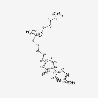 CCCCCOC(C)CCCC=Cc1ccc(-c2cnc(O)nc2)c(F)c1